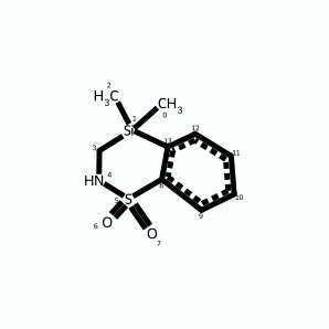 C[Si]1(C)CNS(=O)(=O)c2ccccc21